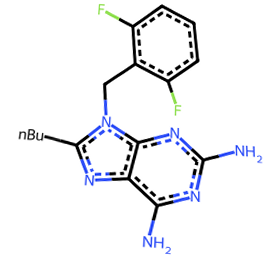 CCCCc1nc2c(N)nc(N)nc2n1Cc1c(F)cccc1F